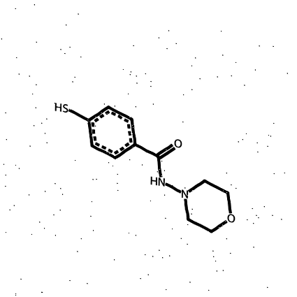 O=C(NN1CCOCC1)c1ccc(S)cc1